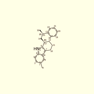 Cc1ccc2[nH]c3c(c2c1)CCC[C@@H]3C[C@@H](C)c1ccccc1